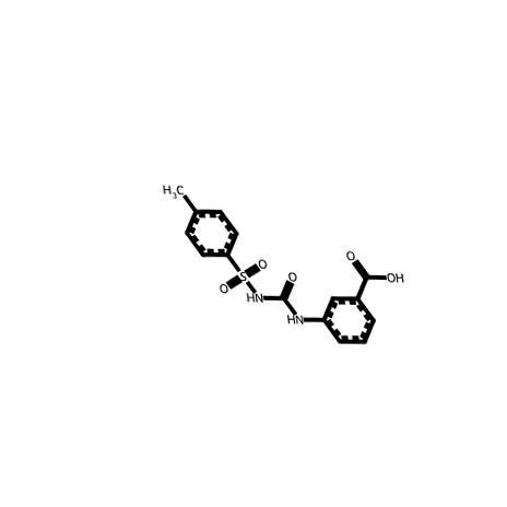 Cc1ccc(S(=O)(=O)NC(=O)Nc2cccc(C(=O)O)c2)cc1